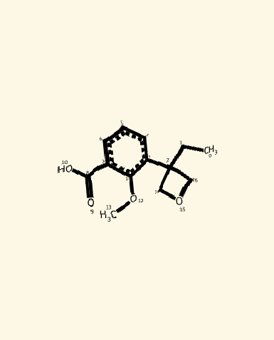 CCC1(c2cccc(C(=O)O)c2OC)COC1